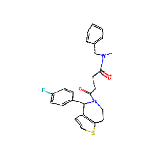 CN(Cc1ccccc1)C(=O)CCC(=O)N1CCc2sccc2C1c1ccc(F)cc1